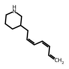 C=C/C=C\C=C/CC1CCCNC1